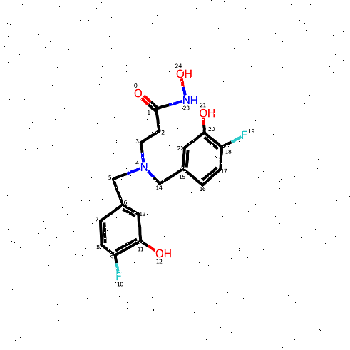 O=C(CCN(Cc1ccc(F)c(O)c1)Cc1ccc(F)c(O)c1)NO